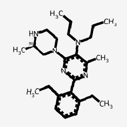 CCCN(CCC)c1c(C)nc(-c2c(CC)cccc2CC)nc1N1CCN[C@H](C)C1